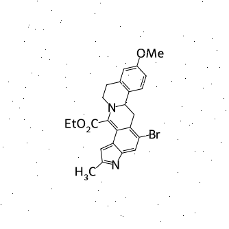 CCOC(=O)C1=c2c(c(Br)cc3c2=CC(C)=N3)CC2c3ccc(OC)cc3CCN12